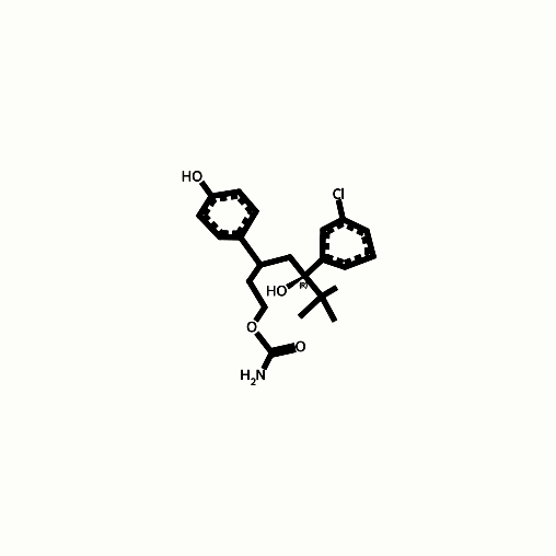 CC(C)(C)[C@](O)(CC(CCOC(N)=O)c1ccc(O)cc1)c1cccc(Cl)c1